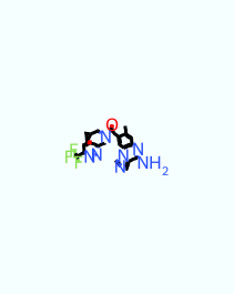 Cc1cc2nc(N)c3cncn3c2cc1C(=O)N(Cc1ccc(C(F)(F)F)nn1)CC1CC1